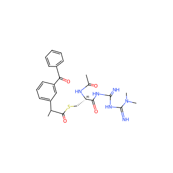 CC(=O)N[C@@H](CSC(=O)C(C)c1cccc(C(=O)c2ccccc2)c1)C(=O)NC(=N)NC(=N)N(C)C